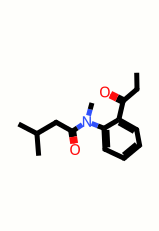 CCC(=O)c1ccccc1N(C)C(=O)CC(C)C